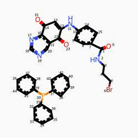 O=C(NCCCBr)c1ccc(NC2=CC(=O)c3ncncc3C2=O)cc1.c1ccc(P(c2ccccc2)c2ccccc2)cc1